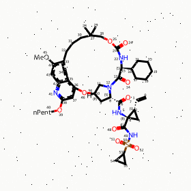 C=C[C@@H]1C[C@]1(NC(=O)[C@@H]1C[C@@H]2CN1C(=O)[C@H](C1CCCCC1)NC(=O)OCC(C)(C)CCCc1cc3c(cc(OCCCCC)nc3cc1OC)O2)C(=O)NS(=O)(=O)C1CC1